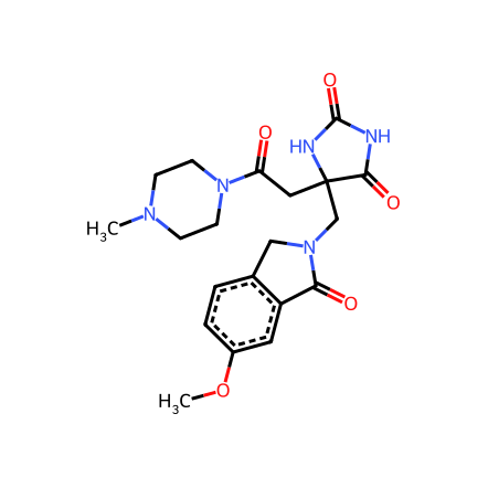 COc1ccc2c(c1)C(=O)N(CC1(CC(=O)N3CCN(C)CC3)NC(=O)NC1=O)C2